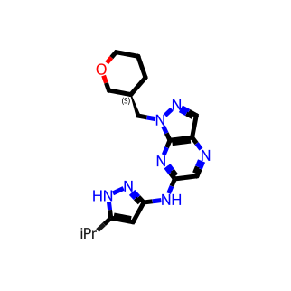 CC(C)c1cc(Nc2cnc3cnn(C[C@@H]4CCCOC4)c3n2)n[nH]1